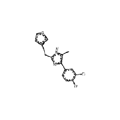 Cc1[nH]c(Cc2ccsc2)nc1-c1ccc(Cl)c(Cl)c1